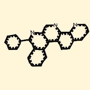 c1ccc(-c2nc3cnc4c(ccc5cccnc54)c3c3ccccc23)cc1